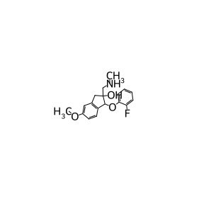 CNCC1(O)Cc2cc(OC)ccc2C1Oc1ccccc1F